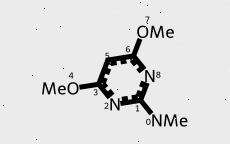 CNc1nc(OC)cc(OC)n1